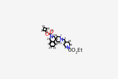 CCOC(=O)N1CCC(CN2CCC3(CC2)CN(C(=O)OC2CCC2)Cc2ccccc23)CC1